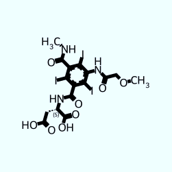 CNC(=O)c1c(I)c(NC(=O)COC)c(I)c(C(=O)N[C@@H](CC(=O)O)C(=O)O)c1I